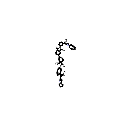 O=C(/C=C/c1ccccc1)c1cccc(N2C(=O)c3ccc(-c4ccc5c(c4)C(=O)N(c4cccc(C(=O)/C=C/c6ccccc6)c4)C5=O)cc3C2=O)c1